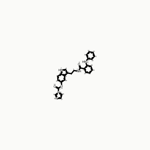 O=C(NCCc1c[nH]c2ccc(OC(=O)n3ccnc3)cc12)c1ccccc1Nc1ccccc1